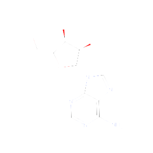 Nc1ncnc2c1N=C[N+]2[C@@H]1O[C@H](CO)[C@@H](O)[C@H]1O